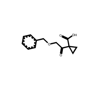 O=C(O)C1(C(=O)COCc2ccccc2)CC1